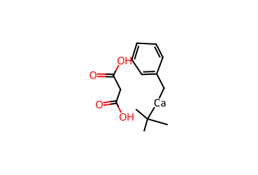 C[C](C)(C)[Ca][CH2]c1ccccc1.O=C(O)CC(=O)O